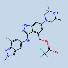 C[C@H]1CN(c2cc(CO)c3c(Nc4cc(F)c5nn(C)cc5c4)n[nH]c3c2)C[C@H](C)N1.O=C(O)C(F)(F)F